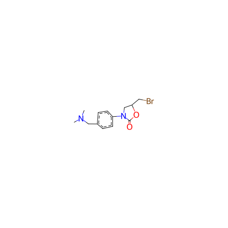 CN(C)Cc1ccc(N2CC(CBr)OC2=O)cc1